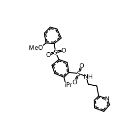 COc1ccccc1S(=O)(=O)c1ccc(C(C)C)c(S(=O)(=O)NCCc2ccccn2)c1